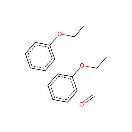 C=O.CCOc1ccccc1.CCOc1ccccc1